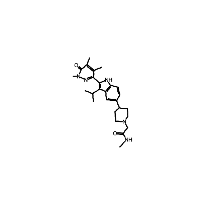 CNC(=O)CN1CCC(c2ccc3[nH]c(-c4nn(C)c(=O)c(C)c4C)c(C(C)C)c3c2)CC1